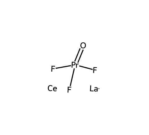 [Ce].[La].[O]=[Pr]([F])([F])[F]